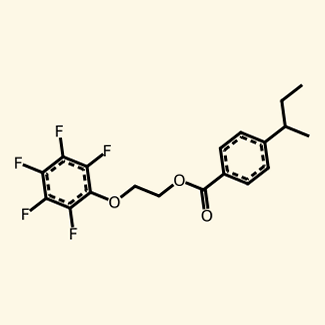 CCC(C)c1ccc(C(=O)OCCOc2c(F)c(F)c(F)c(F)c2F)cc1